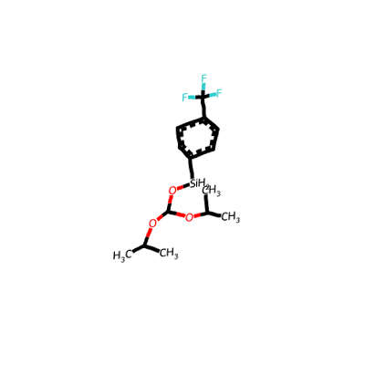 CC(C)OC(O[SiH2]c1ccc(C(F)(F)F)cc1)OC(C)C